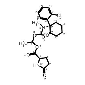 CC(OC(=O)C1CCC(=O)N1)OC(=O)N(C)[C@]1(c2ccccc2Cl)CCCCC1=O